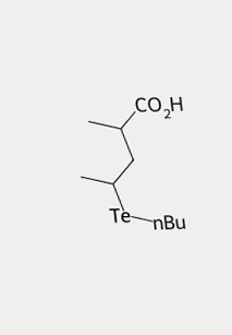 CCCC[Te]C(C)CC(C)C(=O)O